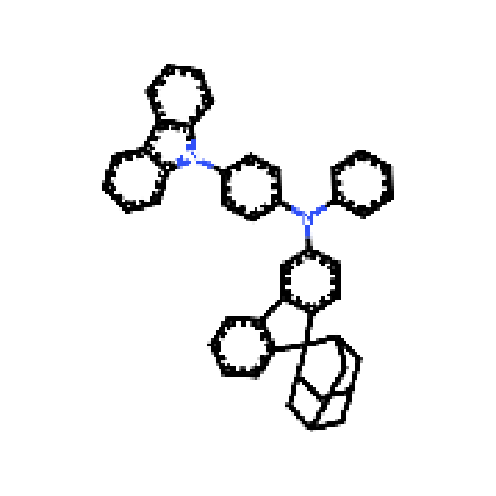 c1ccc(N(c2ccc(-n3c4ccccc4c4ccccc43)cc2)c2ccc3c(c2)-c2ccccc2C32C3CC4CC(C3)CC2C4)cc1